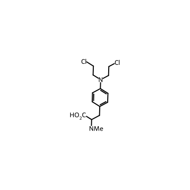 CNC(Cc1ccc(N(CCCl)CCCl)cc1)C(=O)O